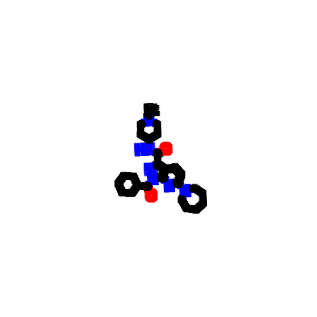 CCN1CCC(NC(=O)c2nn(C(=O)C3CCCCC3)c3nc(N4CCCCCC4)ccc23)CC1